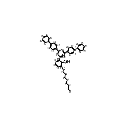 CCCCCCCCOc1cccc(-c2nc(-c3ccc(-c4ccccc4)cc3)nc(-c3ccc(-c4ccccc4)cc3)n2)c1O